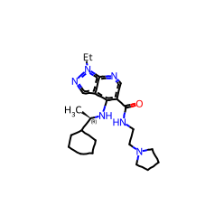 CCn1ncc2c(N[C@H](C)C3CCCCC3)c(C(=O)NCCN3CCCC3)cnc21